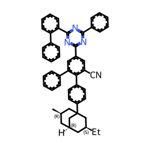 CC[C@H]1C[C@H]2C[C@@H](C)CC(c3ccc(-c4c(C#N)cc(-c5nc(-c6ccccc6)nc(-c6ccccc6-c6ccccc6)n5)cc4-c4ccccc4)cc3)(C2)C1